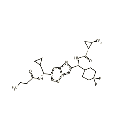 O=C(CCC(F)(F)F)N[C@@H](c1cnn2cc([C@@H](NC(=O)[C@@H]3C[C@H]3C(F)(F)F)C3CCC(F)(F)CC3)nc2c1)C1CC1